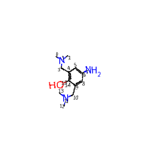 CN(C)Cc1cc(N)cc(CN(C)C)c1O